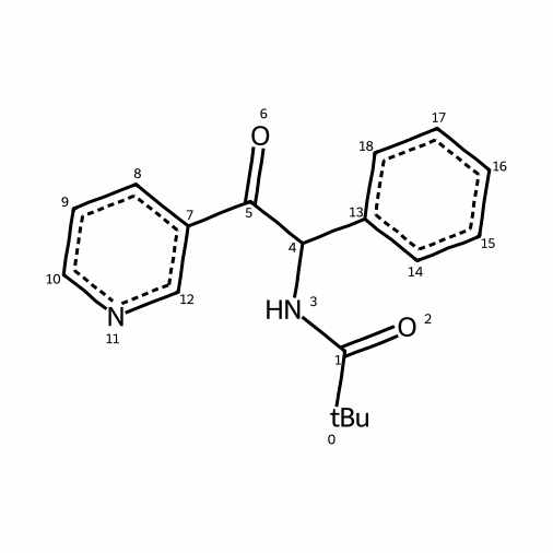 CC(C)(C)C(=O)NC(C(=O)c1cccnc1)c1ccccc1